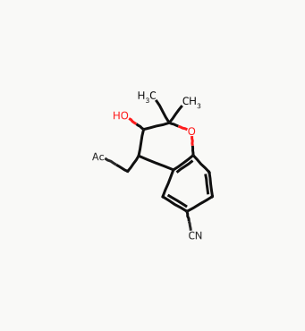 CC(=O)CC1c2cc(C#N)ccc2OC(C)(C)C1O